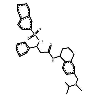 CC(C)N(C)Cc1ccc2c(c1)OCCC2NC(=O)CC(NS(=O)(=O)c1ccc2ccccc2c1)c1ccccc1